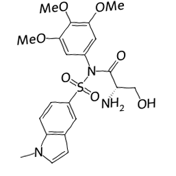 COc1cc(N(C(=O)[C@@H](N)CO)S(=O)(=O)c2ccc3c(ccn3C)c2)cc(OC)c1OC